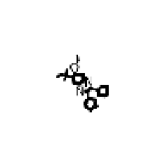 CCOc1cc2nc(-c3ccccc3)c(-c3ccccc3)nc2cc1C(C)(C)CC